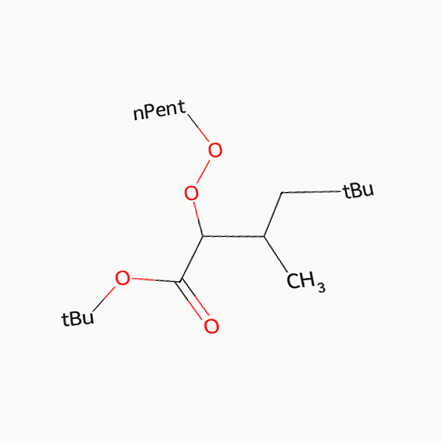 CCCCCOOC(C(=O)OC(C)(C)C)C(C)CC(C)(C)C